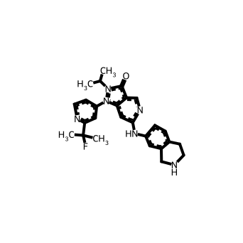 CC(C)n1c(=O)c2cnc(Nc3ccc4c(c3)CNCC4)cc2n1-c1ccnc(C(C)(C)F)c1